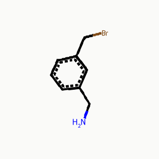 NCc1cccc(CBr)c1